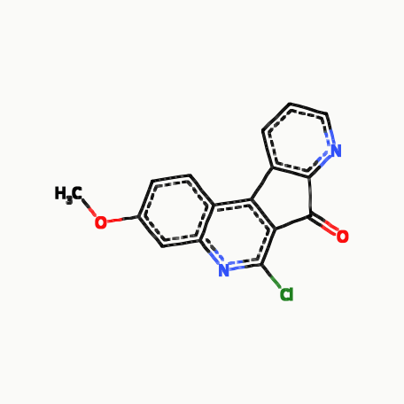 COc1ccc2c3c(c(Cl)nc2c1)C(=O)c1ncccc1-3